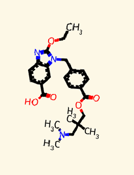 CCOc1nc2ccc(C(=O)O)cc2n1Cc1ccc(C(=O)OCC(C)(C)CN(C)C)cc1